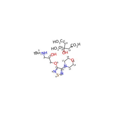 CC(C)(C)NCC(O)COc1nsnc1N1CCOCC1.O=C(O)CC(O)(CC(=O)O)C(=O)O